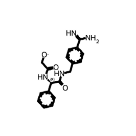 N=C(N)c1ccc(CNC(=O)[C@H](NC(=O)C[O])c2ccccc2)cc1